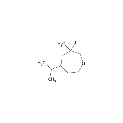 CC(C)N1CCOCC(C)(F)C1